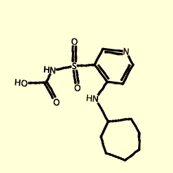 O=C(O)NS(=O)(=O)c1cnccc1NC1CCCCCC1